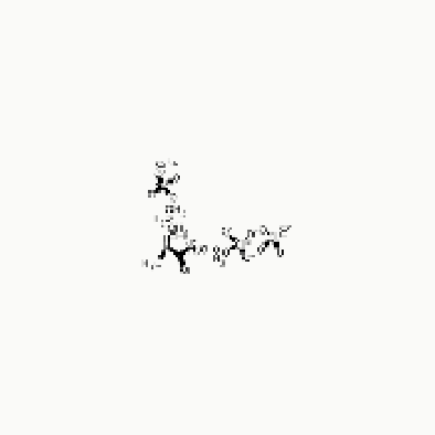 CNC(C)O.O.O.O.O.O.O.[Cr+3].[O-][Cl+3]([O-])([O-])[O-].[O-][Cl+3]([O-])([O-])[O-].[O-][Cl+3]([O-])([O-])[O-]